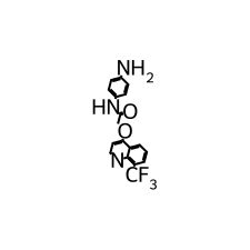 Nc1ccc(NC(=O)COc2ccnc3c(C(F)(F)F)cccc23)cc1